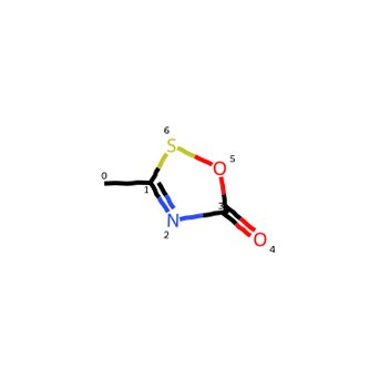 Cc1nc(=O)os1